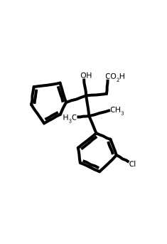 CC(C)(c1cccc(Cl)c1)C(O)(CC(=O)O)c1ccccc1